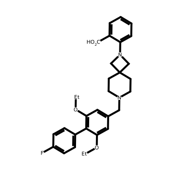 CCOc1cc(CN2CCC3(CC2)CN(c2ccccc2C(=O)O)C3)cc(OCC)c1-c1ccc(F)cc1